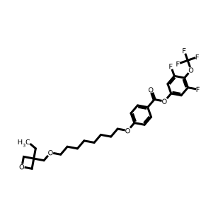 CCC1(COCCCCCCCCOc2ccc(C(=O)Oc3cc(F)c(OC(F)(F)F)c(F)c3)cc2)COC1